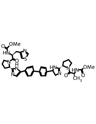 COC(=O)N[C@@H](C)C(=O)N1CCC[C@H]1C1=NCC(c2ccc(-c3ccc(-c4cnc([C@@H]5CCCN5C(=O)[C@H](Cc5cscn5)NC(=O)OC)[nH]4)cc3)cc2)N1